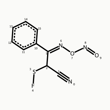 N#CC(SF)/C(=N\ON=O)c1ccccc1